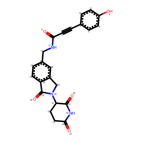 O=C(C#Cc1ccc(O)cc1)NCc1ccc2c(c1)CN(C1CCC(=O)NC1=O)C2=O